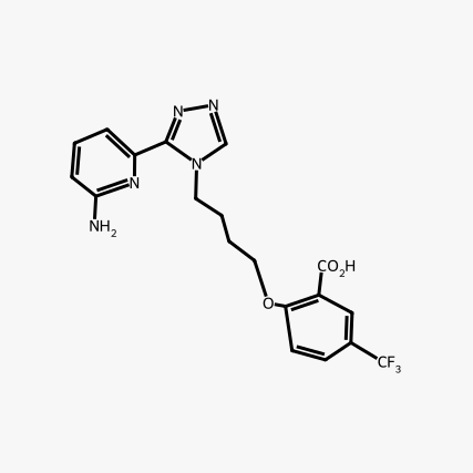 Nc1cccc(-c2nncn2CCCCOc2ccc(C(F)(F)F)cc2C(=O)O)n1